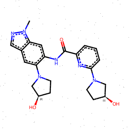 Cn1ncc2cc(N3CC[C@@H](O)C3)c(NC(=O)c3cccc(N4CC[C@H](O)C4)n3)cc21